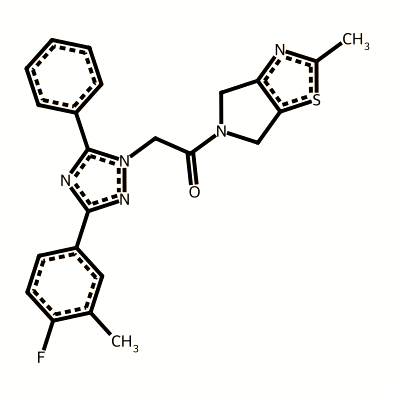 Cc1nc2c(s1)CN(C(=O)Cn1nc(-c3ccc(F)c(C)c3)nc1-c1ccccc1)C2